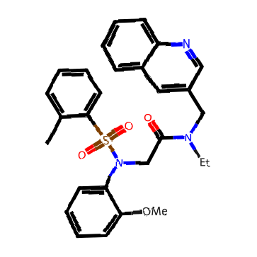 CCN(Cc1cnc2ccccc2c1)C(=O)CN(c1ccccc1OC)S(=O)(=O)c1ccccc1C